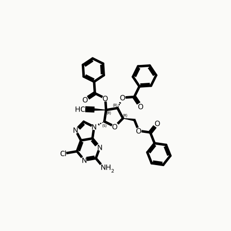 C#C[C@@]1(OC(=O)c2ccccc2)[C@H](OC(=O)c2ccccc2)[C@@H](COC(=O)c2ccccc2)O[C@@H]1n1cnc2c(Cl)nc(N)nc21